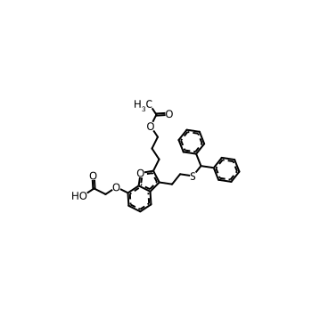 CC(=O)OCCCc1oc2c(OCC(=O)O)cccc2c1CCSC(c1ccccc1)c1ccccc1